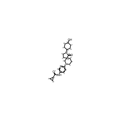 O=C(Nc1ccc(N2CCC[C@]3(CCN(C4CCC(O)CC4)C3=O)C2)nc1)C1CC1